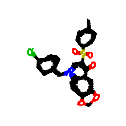 Cc1ccc(S(=O)(=O)c2cn(Cc3ccc(Cl)cc3)c3cc4c(cc3c2=O)OCO4)cc1